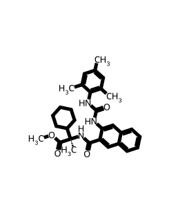 COC(=O)[C@](C)(NC(=O)c1cc2ccccc2cc1NC(=O)Nc1c(C)cc(C)cc1C)C1CCCCC1